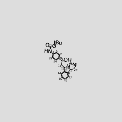 CC(C)(C)OC(=O)Nc1ccc(C(O)CC2c3ccccc3C3CN=CN32)cc1